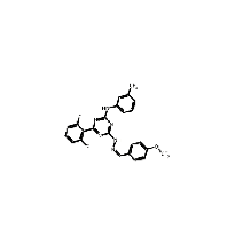 Fc1cccc(F)c1-c1nc(N/N=C\c2ccc(OC(F)(F)F)cc2)nc(Nc2cccc(C(F)(F)F)c2)n1